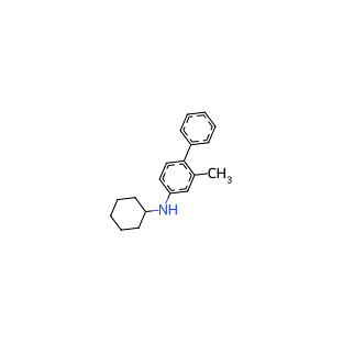 Cc1cc(NC2CCCCC2)ccc1-c1ccccc1